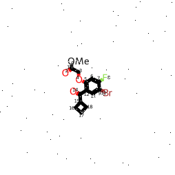 COC(=O)COc1cc(F)c(Br)cc1C(=O)C1CCC1